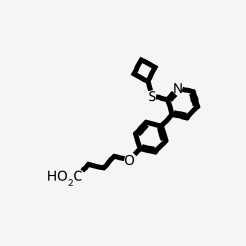 O=C(O)CCCOc1ccc(-c2cccnc2SC2CCC2)cc1